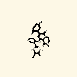 CC(O)C(C)NC(=O)c1cnccc1Nc1cc(-c2cc(Cl)ccc2F)c(=O)n2c1C(=O)N(C)CC2